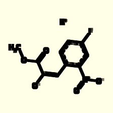 COC(=O)/C([O-])=C\c1ccc(F)cc1[N+](=O)[O-].[K+]